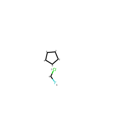 C1CCCC1.FCCl